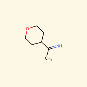 CC(=N)C1CCOCC1